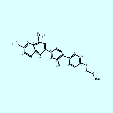 COCCOc1ccc(-c2ccc(-c3cc(C(=O)O)c4cc(C)ccc4n3)cc2F)cc1